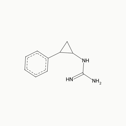 N=C(N)NC1CC1c1ccccc1